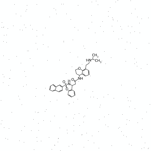 CC(C)NCCc1cccc2c1OCCC2NC(=O)CC(NS(=O)(=O)c1ccc2ccccc2c1)c1ccccc1